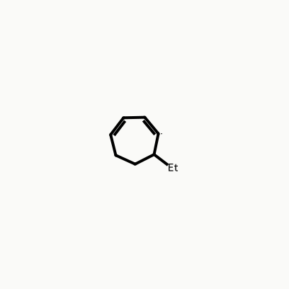 CCC1[C]=CC=CCC1